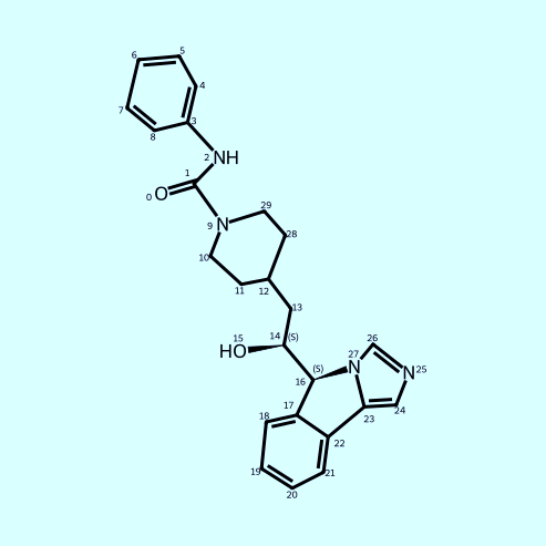 O=C(Nc1ccccc1)N1CCC(C[C@H](O)[C@@H]2c3ccccc3-c3cncn32)CC1